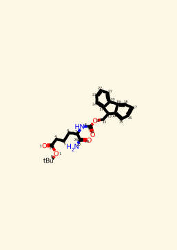 CC(C)(C)OC(=O)CCCC(NC(=O)OCC1c2ccccc2-c2ccccc21)C(N)=O